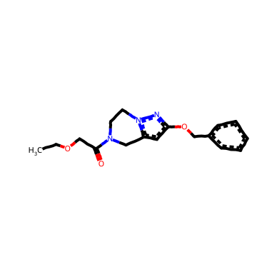 CCOCC(=O)N1CCn2nc(OCc3ccccc3)cc2C1